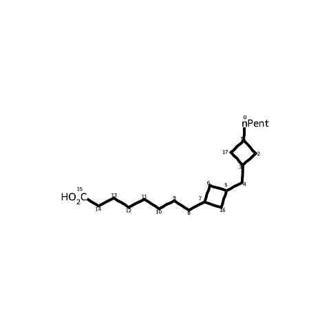 CCCCCC1CC(CC2CC(CCCCCCCC(=O)O)C2)C1